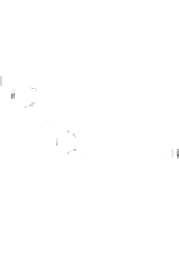 CCc1cc(OCc2ccc(F)cc2)c(O)cc1OCCCCCC(C)(C)C#N